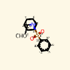 O=CC1C2CCC(CC2)N1S(=O)(=O)c1ccccc1